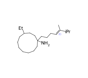 CCC1CCCCCCCC(N)(CCC/C=C(\C)C(C)C)CC1